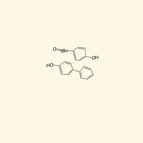 C=O.CC(C)(C)c1ccc(O)cc1.Oc1ccc(-c2ccccc2)cc1